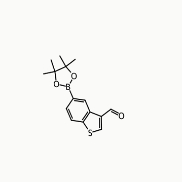 CC1(C)OB(c2ccc3scc(C=O)c3c2)OC1(C)C